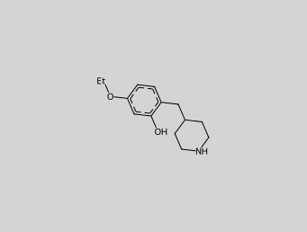 CCOc1ccc(CC2CCNCC2)c(O)c1